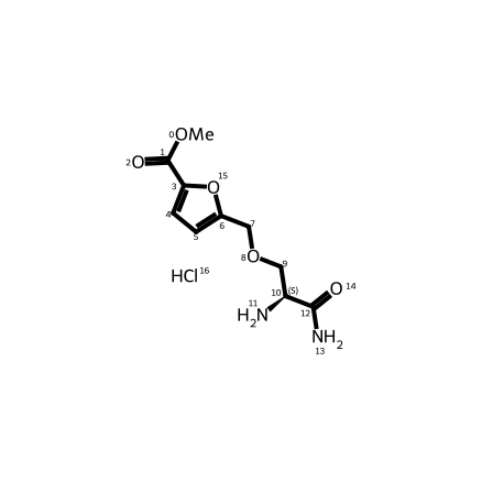 COC(=O)c1ccc(COC[C@H](N)C(N)=O)o1.Cl